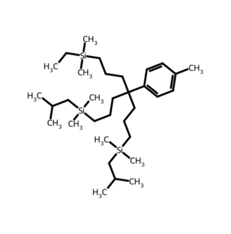 CC[Si](C)(C)CCCC(CCC[Si](C)(C)CC(C)C)(CCC[Si](C)(C)CC(C)C)c1ccc(C)cc1